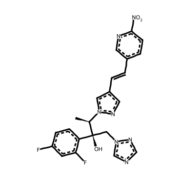 C[C@@H](n1cc(C=Cc2ccc([N+](=O)[O-])nc2)cn1)[C@](O)(Cn1cncn1)c1ccc(F)cc1F